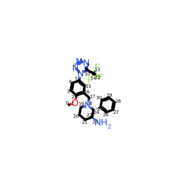 COc1ccc(-n2nnnc2C(F)(F)F)cc1CN1CCC[C@H](N)[C@H]1c1ccccc1